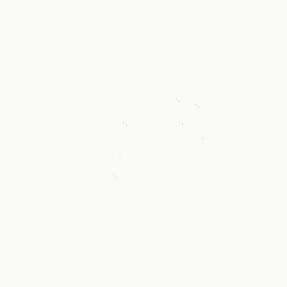 c1ccc(-c2nc(-c3ccccc3)nc(-c3ccc(N(c4ccc(-c5ccc6ccccc6c5)cc4)c4ccc(-c5ccc6c(c5)c5ccccc5n6-c5ccccc5)cc4)cc3)n2)cc1